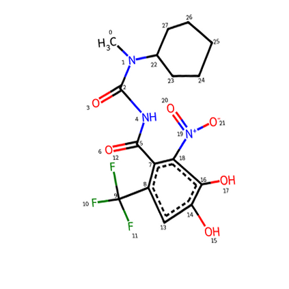 CN(C(=O)NC(=O)c1c(C(F)(F)F)cc(O)c(O)c1[N+](=O)[O-])C1CCCCC1